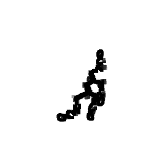 O=C=NC=C(C=C(CN=C=O)N=C=O)N=C=O